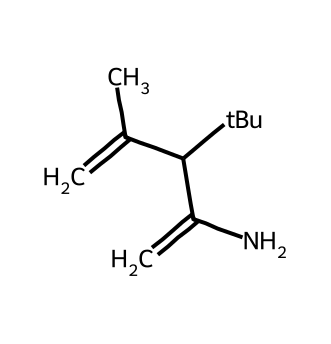 C=C(C)C(C(=C)N)C(C)(C)C